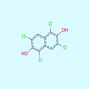 Oc1c(Cl)cc2c(Cl)c(O)c(Cl)cc2c1Cl